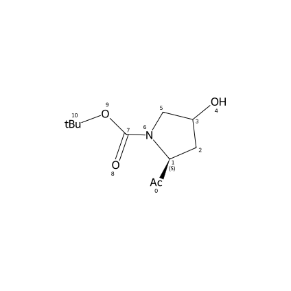 CC(=O)[C@@H]1CC(O)CN1C(=O)OC(C)(C)C